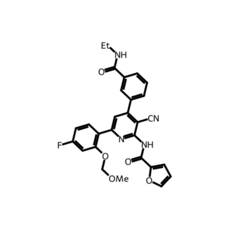 [CH2]CNC(=O)c1cccc(-c2cc(-c3ccc(F)cc3OCOC)nc(NC(=O)c3ccco3)c2C#N)c1